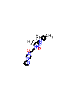 Cc1ccc(-n2nc3c(c(C)cn(CCCC(=O)N4CCN(c5ccccn5)CC4)[n+]3=O)c2C)cc1